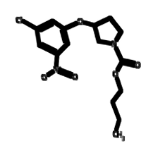 CCCCOC(=O)N1CCC(Oc2cc(Cl)cc([N+](=O)[O-])c2)C1